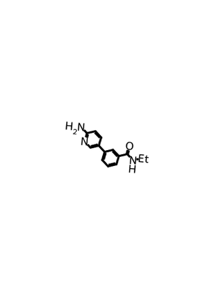 CCNC(=O)c1cccc(-c2ccc(N)nc2)c1